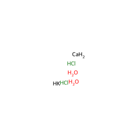 Cl.Cl.O.O.[CaH2].[KH]